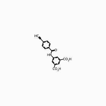 C#Cc1ccc(C(=O)Nc2cc(C(=O)O)cc(C(=O)O)c2)cc1